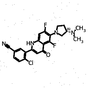 CN(C)[C@H]1CCN(c2c(F)cc3[nH]c(-c4cc(C#N)ccc4Cl)cc(=O)c3c2F)C1